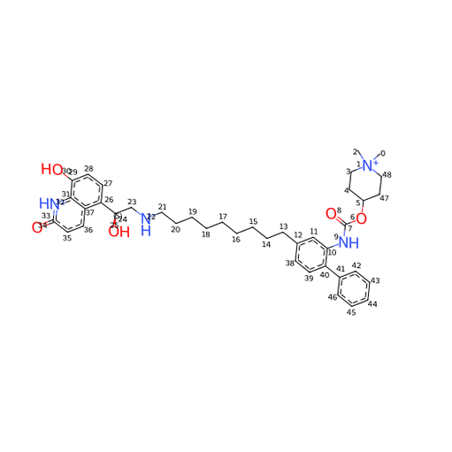 C[N+]1(C)CCC(OC(=O)Nc2cc(CCCCCCCCCNC[C@@H](O)c3ccc(O)c4[nH]c(=O)ccc34)ccc2-c2ccccc2)CC1